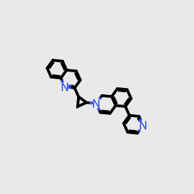 C1=CN(C2CC2c2ccc3ccccc3n2)Cc2cccc(-c3cccnc3)c21